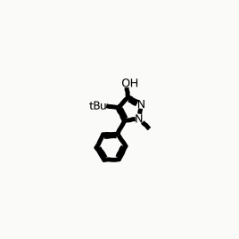 Cn1nc(O)c(C(C)(C)C)c1-c1ccccc1